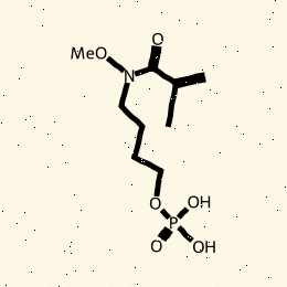 C=C(C)C(=O)N(CCCCOP(=O)(O)O)OC